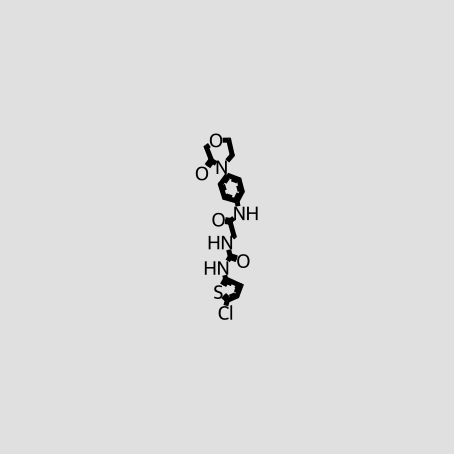 O=C(CNC(=O)Nc1ccc(Cl)s1)Nc1ccc(N2CCOCC2=O)cc1